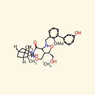 COc1c(CN2O[C@@H](CO)[C@@H]([C@H](C)O)C2C(=O)N[C@H]2C[C@H]3C[C@@H]([C@@H]2C)C3(C)C)cccc1-c1cccc(O)c1